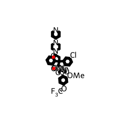 COc1ccccc1C1(CC(=O)N2CCN(c3ccncc3)CC2)C(=O)N(S(=O)(=O)c2ccc(OC(F)(F)F)cc2OC)c2ccc(Cl)cc21